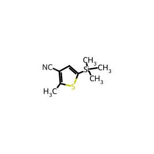 Cc1sc([Si](C)(C)C)cc1C#N